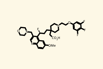 COc1ccc2ncc(CN3CCOCC3)c([C@@H](F)CCC3(CC(=O)O)CCN(CCOc4cc(F)c(F)c(F)c4)CC3)c2c1